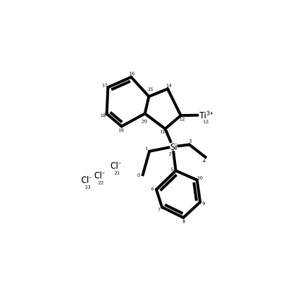 CC[Si](CC)(c1ccccc1)C1[CH]([Ti+3])CC2C=CC=CC21.[Cl-].[Cl-].[Cl-]